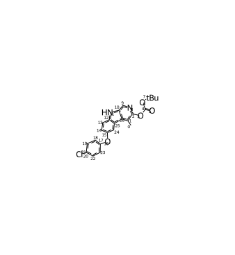 Cc1c(OC(=O)OC(C)(C)C)ncc2[nH]c3ccc(Oc4ccc(Cl)cc4)cc3c12